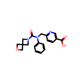 O=C(O)c1ccc(CN(C(=O)N2CC3(COC3)C2)c2ccccc2)nc1